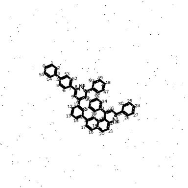 c1ccc(-c2ccc(-c3cc(-c4cccc(-c5ccc6ccc7nc(-c8ccccc8)cc(-c8ccccc8)c7c6c5)c4)cc(-c4ccccc4)n3)cc2)cc1